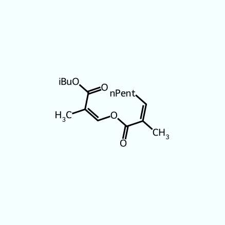 CCCCCC=C(C)C(=O)OC=C(C)C(=O)OCC(C)C